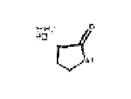 Cl.O=C1CCCN1.[SnH2]